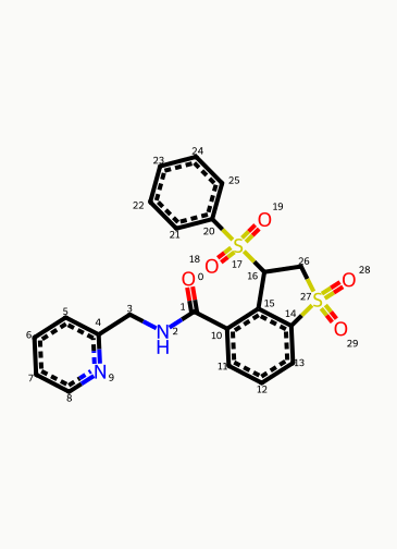 O=C(NCc1ccccn1)c1cccc2c1C(S(=O)(=O)c1ccccc1)CS2(=O)=O